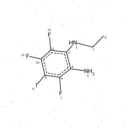 CCNc1c(N)c(F)c(I)c(F)c1F